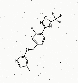 Cc1cncc(OCc2ccc(-c3noc(C(F)(F)F)n3)c(F)c2)c1